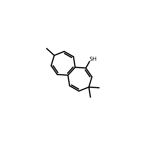 CC1C=CC2=C(C=C1)C(S)=CC(C)(C)C=C2